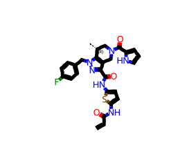 C=CC(=O)Nc1ccc(NC(=O)c2nn(Cc3ccc(F)cc3)c3c2CN(C(=O)c2ccc[nH]2)C[C@H]3C)s1